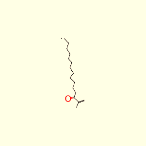 [CH2]CCCCCCCCCCCC(=O)C(=C)C